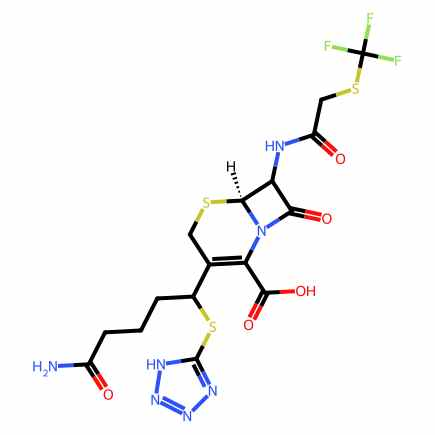 NC(=O)CCCC(Sc1nnn[nH]1)C1=C(C(=O)O)N2C(=O)C(NC(=O)CSC(F)(F)F)[C@@H]2SC1